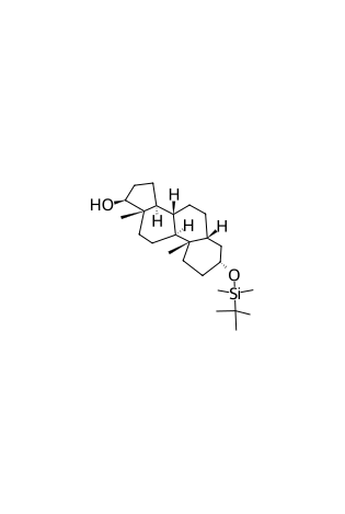 CC(C)(C)[Si](C)(C)O[C@@H]1CC[C@@]2(C)[C@H](CC[C@@H]3[C@@H]2CC[C@]2(C)[C@@H](O)CC[C@@H]32)C1